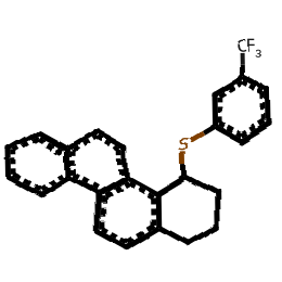 FC(F)(F)c1cccc(SC2CCCc3ccc4c(ccc5ccccc54)c32)c1